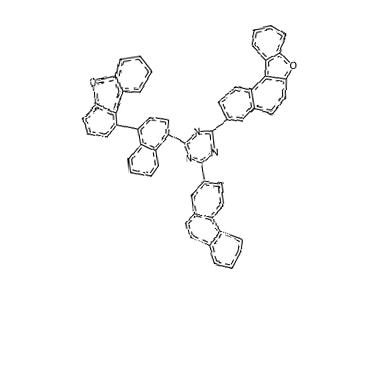 c1ccc2c(c1)ccc1cc(-c3nc(-c4ccc5c(ccc6oc7ccccc7c65)c4)nc(-c4ccc(-c5cccc6oc7ccccc7c56)c5ccccc45)n3)ccc12